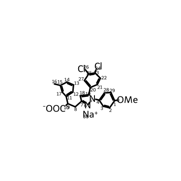 COc1ccc(-n2nc(CC(C(=O)[O-])c3cccc(C)c3)cc2-c2ccc(Cl)c(Cl)c2)cc1.[Na+]